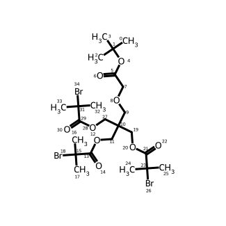 CC(C)(C)OC(=O)COCC(COC(=O)C(C)(C)Br)(COC(=O)C(C)(C)Br)COC(=O)C(C)(C)Br